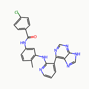 Cc1ccc(NC(=O)c2ccc(Cl)cc2)cc1Nc1ncccc1-c1ncnc2[nH]cnc12